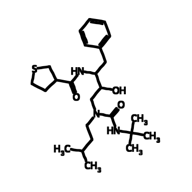 CC(C)CCN(CC(O)C(Cc1ccccc1)NC(=O)C1CCSC1)C(=O)NC(C)(C)C